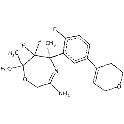 CC1(C)OCC(N)=N[C@](C)(c2cc(C3=CCOCC3)ccc2F)C1(F)F